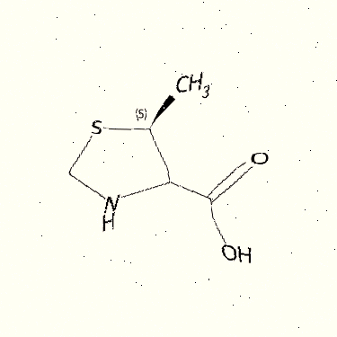 C[C@@H]1SCNC1C(=O)O